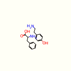 NC(Cc1ccccc1)C(=O)O.NCCc1ccc(O)cc1